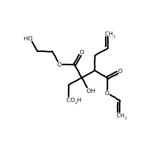 C=CCC(C(=O)OC=C)C(O)(CC(=O)O)C(=O)OCCO